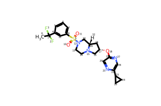 CC(F)(F)c1cccc(S(=O)(=O)N2CCN3C[C@@H](Oc4cnc(C5CC5)cn4)C[C@H]3C2)c1